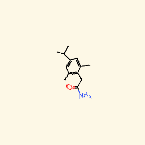 Cc1cc(C(C)C)cc(C)c1CC(N)=O